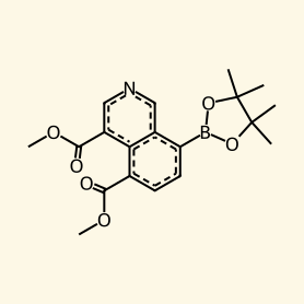 COC(=O)c1ccc(B2OC(C)(C)C(C)(C)O2)c2cncc(C(=O)OC)c12